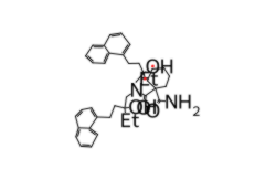 CCC(O)(CCc1cccc2ccccc12)CN(CC(O)(CC)CCc1cccc2ccccc12)C(=O)C1(C(N)=O)CCCCC1